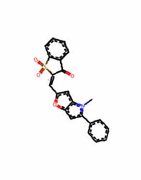 Cn1c(-c2ccccc2)cc2oc(/C=C3\C(=O)c4ccccc4S3(=O)=O)cc21